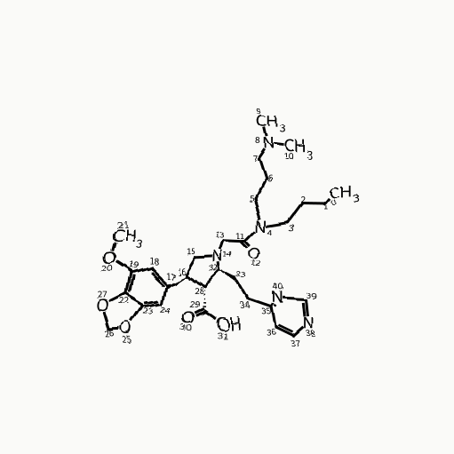 CCCCN(CCCN(C)C)C(=O)CN1C[C@H](c2cc(OC)c3c(c2)OCO3)[C@@H](C(=O)O)[C@@H]1CCc1ccncn1